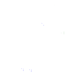 Fc1n[nH]c2ccc(/C(=C(/c3ncc(Cl)cc3Cl)C3CCC3)c3[c]cccc3)cc12